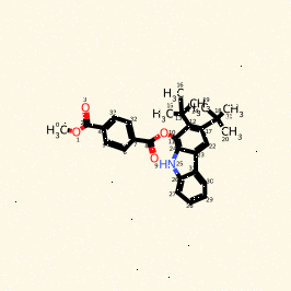 COC(=O)c1ccc(C(=O)Oc2c(C(C)(C)C)c(C(C)(C)C)cc3c2[nH]c2ccccc23)cc1